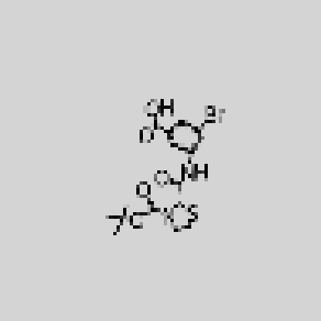 CC(C)(C)OC(=O)N1CCS[C@H]1C(=O)Nc1cc(Br)cc(C(=O)O)c1